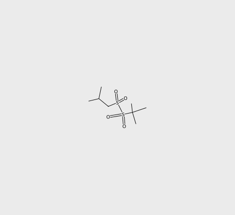 CC(C)CS(=O)(=O)S(=O)(=O)C(C)(C)C